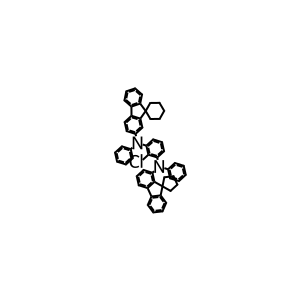 Clc1c(N(c2ccccc2)c2ccc3c(c2)C2(CCCCC2)c2ccccc2-3)cccc1N(c1ccccc1)c1cccc2c1C1(CCCC1)c1ccccc1-2